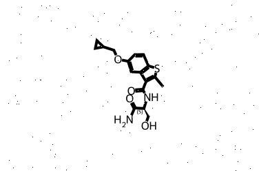 Cc1sc2ccc(OCC3CC3)cc2c1C(=O)N[C@@H](CO)C(N)=O